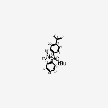 C=C(C)c1ccc([Si](OC(C)(C)C)(c2ccccc2)N(C)C)cc1